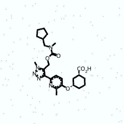 Cc1nc(-c2nnn(C)c2COC(=O)N(C)CC2CCCC2)ccc1O[C@H]1CCC[C@H](C(=O)O)C1